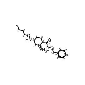 CCCCON[C@@H]1CC[C@@H](C(=O)NOCc2ccccc2)N(P)C1